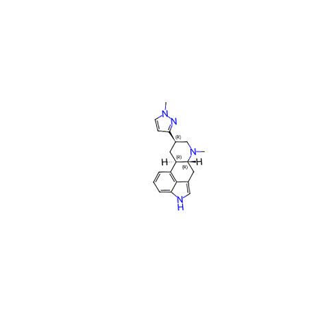 CN1C[C@H](c2ccn(C)n2)C[C@@H]2c3cccc4[nH]cc(c34)C[C@H]21